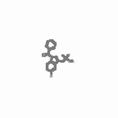 CC(=O)OC(C)(C)Cc1cn(C(=O)c2ccccc2)c2ccc(F)cc12